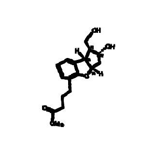 COC(=O)CCCc1cccc2c1O[C@H]1C[C@@H](O)[C@H](CO)[C@@H]21